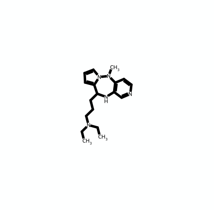 CCN(CC)CCCC1Nc2cnccc2N(C)n2cccc21